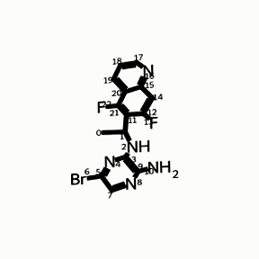 CC(Nc1nc(Br)cnc1N)c1c(F)cc2ncccc2c1F